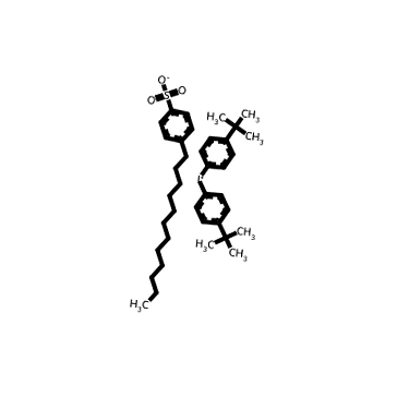 CC(C)(C)c1ccc([I+]c2ccc(C(C)(C)C)cc2)cc1.CCCCCCCCCCCCc1ccc(S(=O)(=O)[O-])cc1